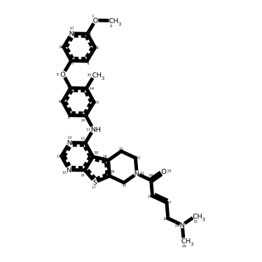 COc1ccc(Oc2ccc(Nc3ncnc4sc5c(c34)CCN(C(=O)/C=C/CN(C)C)C5)cc2C)cn1